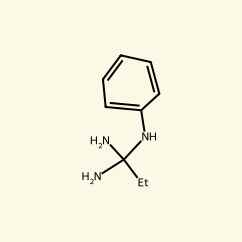 CCC(N)(N)Nc1ccccc1